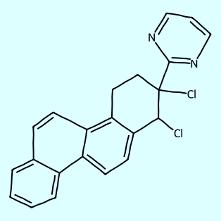 ClC1c2ccc3c(ccc4ccccc43)c2CCC1(Cl)c1ncccn1